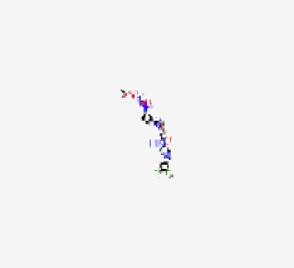 CC(NC(=O)OC(C)(C)C)c1nc(-c2cccc(-c3csc(SCC(=O)NC4CCN(Cc5ccc(Cl)c(Cl)c5)CC4)n3)c2)no1